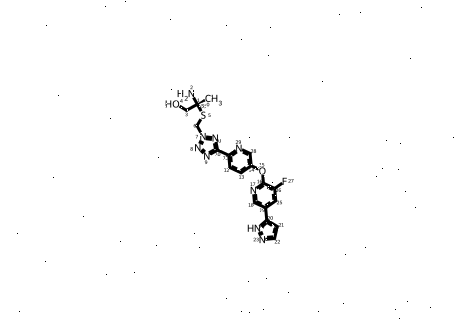 C[C@](N)(CO)SCn1nnc(-c2ccc(Oc3ncc(-c4ccn[nH]4)cc3F)cn2)n1